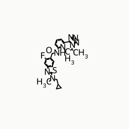 CC(C)n1nnnc1-c1cccc(NC(=O)c2cc3sc(N(C)CC4CC4)nc3cc2F)n1